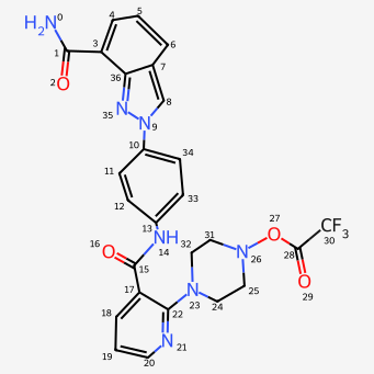 NC(=O)c1cccc2cn(-c3ccc(NC(=O)c4cccnc4N4CCN(OC(=O)C(F)(F)F)CC4)cc3)nc12